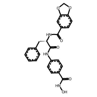 O=C(NO)c1ccc(NC(=O)[C@H](Cc2ccccc2)NC(=O)c2ccc3c(c2)OCO3)cc1